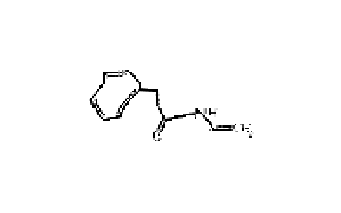 C=[C]NC(=O)Cc1ccccc1